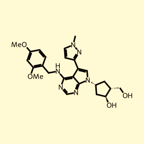 COc1ccc(CNc2ncnc3c2c(-c2ccn(C)n2)cn3[C@@H]2C[C@H](CO)[C@@H](O)C2)c(OC)c1